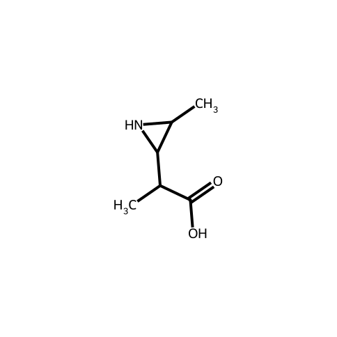 CC1NC1C(C)C(=O)O